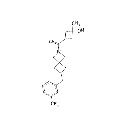 CC1(O)CC(C(=O)N2CC3(CC(Cc4cccc(C(F)(F)F)c4)C3)C2)C1